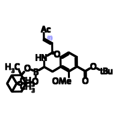 COc1c(CC(NC(=O)/C=C/C(C)=O)B2OC3CC4CC(C4(C)C)C3(C)O2)cccc1C(=O)OC(C)(C)C